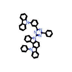 c1ccc(-c2nc(-c3cccc(-n4c5ccccc5c5ccccc54)c3)nc(-n3c4ccccc4c4c3ccc3c5ccccc5n(-c5ccccc5)c34)n2)cc1